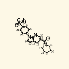 CS(=O)(=O)c1ccc(-n2ccc3cc(C(=O)N4CCCCC4)cnc32)cc1